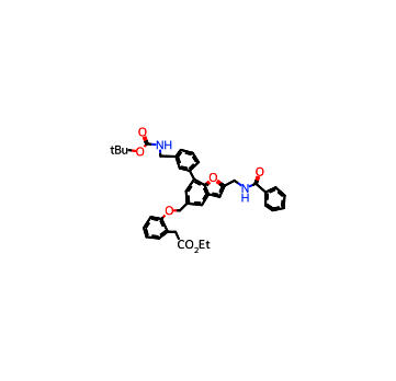 CCOC(=O)Cc1ccccc1OCc1cc(-c2cccc(CNC(=O)OC(C)(C)C)c2)c2oc(CNC(=O)c3ccccc3)cc2c1